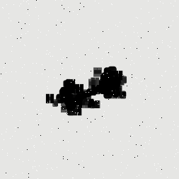 COc1cc(CCNCCCCCSC(C)(C)C(CN2C[C@H](O)C[C@H]2C(=O)N[C@@H](C)c2ccc(-c3scnc3C)cc2)NC(C)=O)c(C)cc1Nc1ncc(Cl)c(Nc2ccccc2P(C)(C)=O)n1